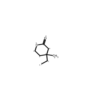 CC1(CI)CCOC(=O)C1